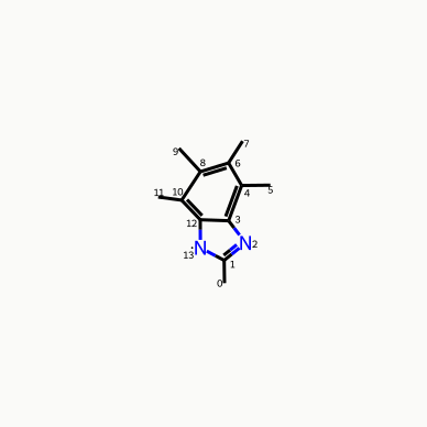 CC1=Nc2c(C)c(C)c(C)c(C)c2[N]1